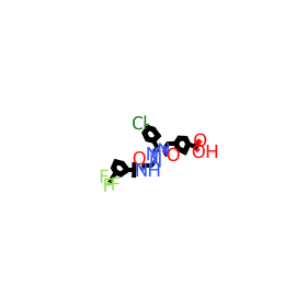 CN(CC(=O)NC(C)(C)c1cccc(C(F)(F)F)c1)/N=C(/c1ccc(Cl)cc1)N(C=O)Cc1ccc(C(=O)O)cc1